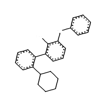 Oc1c(Pc2ccccc2)cccc1-c1ccccc1C1CCCCC1